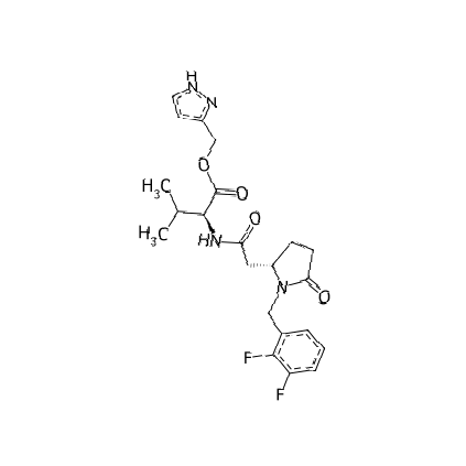 CC(C)[C@H](NC(=O)C[C@@H]1CCC(=O)N1Cc1cccc(F)c1F)C(=O)OCc1cc[nH]n1